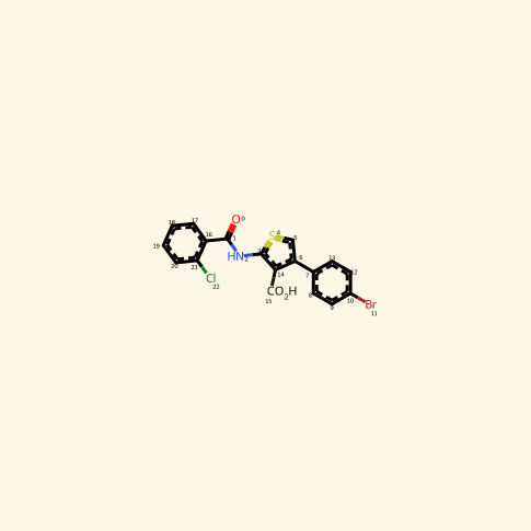 O=C(Nc1scc(-c2ccc(Br)cc2)c1C(=O)O)c1ccccc1Cl